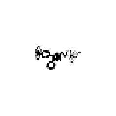 CS(=O)(=O)c1ccc(-c2cc(CCO[N+](=O)[O-])nn2C2CCCCC2)cc1